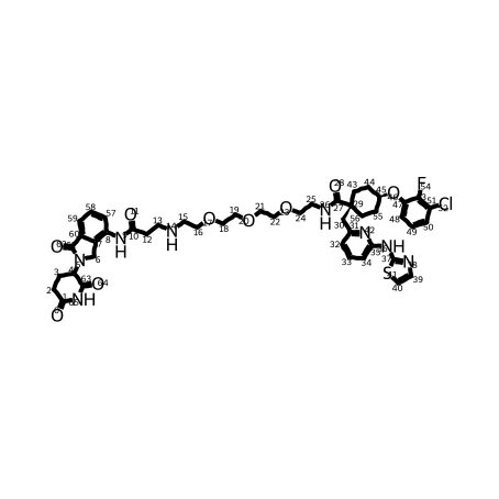 O=C1CCC(N2Cc3c(NC(=O)CCNCCOCCOCCOCCNC(=O)[C@]4(Cc5cccc(Nc6nccs6)n5)CC[C@@H](Oc5cccc(Cl)c5F)CC4)cccc3C2=O)C(=O)N1